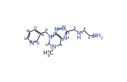 CN1Cc2nc(CNCCN)nnc2N(Cc2cccnc2)C1